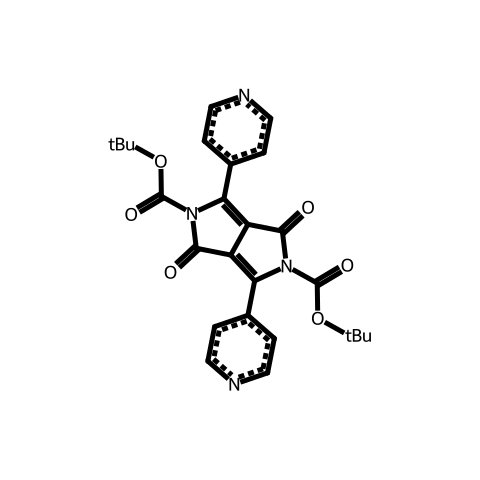 CC(C)(C)OC(=O)N1C(=O)C2=C(c3ccncc3)N(C(=O)OC(C)(C)C)C(=O)C2=C1c1ccncc1